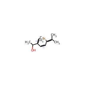 C/C=C(\C=C/C(Br)=C(C)C)C(C)O